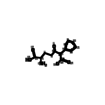 NC(CCC(=O)N(c1ccccc1)[N+](=O)[O-])C(=O)O